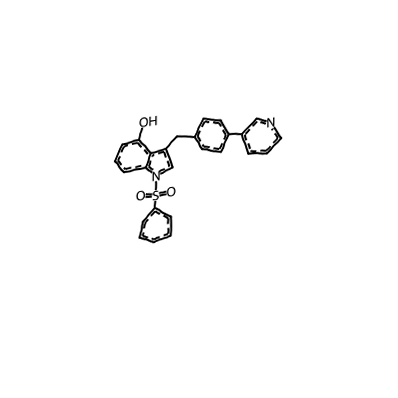 O=S(=O)(c1ccccc1)n1cc(Cc2ccc(-c3cccnc3)cc2)c2c(O)cccc21